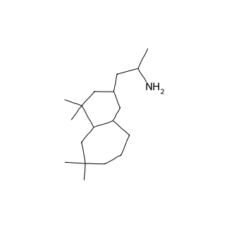 CC(N)CC1CC2CCCC(C)(C)CC2C(C)(C)C1